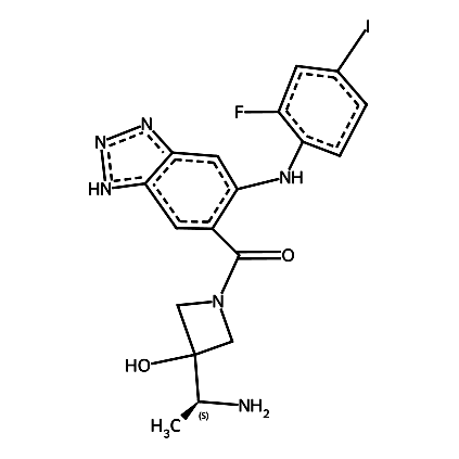 C[C@H](N)C1(O)CN(C(=O)c2cc3[nH]nnc3cc2Nc2ccc(I)cc2F)C1